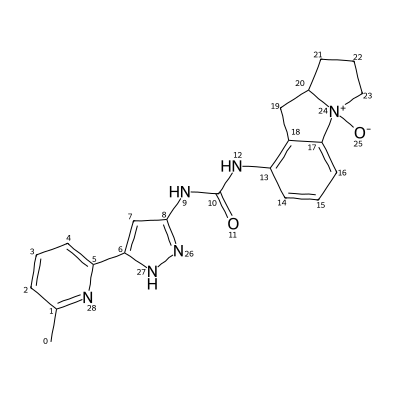 Cc1cccc(-c2cc(NC(=O)Nc3cccc4c3CC3CCC[N+]43[O-])n[nH]2)n1